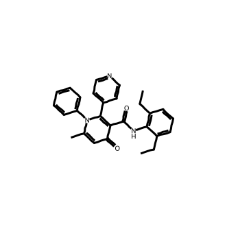 CCc1cccc(CC)c1NC(=O)c1c(-c2ccncc2)n(-c2ccccc2)c(C)cc1=O